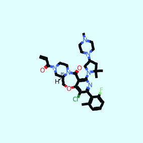 C=CC(=O)N1CCN2C(=O)c3c(N4CC(N5CCN(C)CC5)CC4(C)C)nc(-c4c(C)cccc4F)c(Cl)c3OC[C@H]2C1